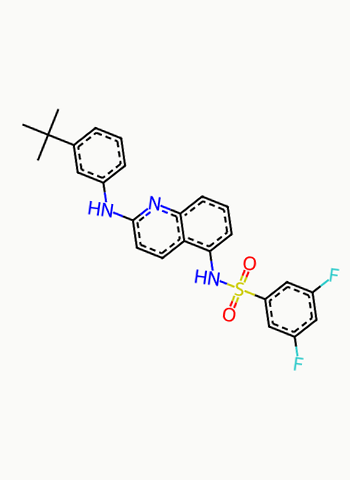 CC(C)(C)c1cccc(Nc2ccc3c(NS(=O)(=O)c4cc(F)cc(F)c4)cccc3n2)c1